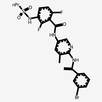 C=C(Nc1ncc(NC(=O)c2c(F)ccc(NS(=O)(=O)CCC)c2F)cc1C)c1cccc(Br)c1